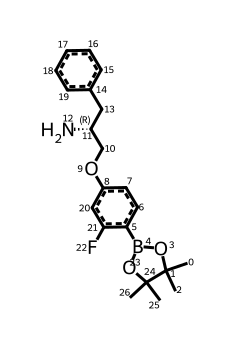 CC1(C)OB(c2ccc(OC[C@H](N)Cc3ccccc3)cc2F)OC1(C)C